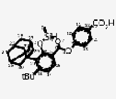 C[SiH](C)Oc1c(C(=O)Oc2ccc(C(=O)O)cc2)ccc(C(C)(C)C)c1C12CC3CC(CC(C3)C1)C2